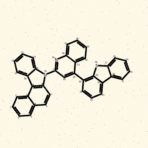 c1ccc2c(c1)ccc1c2c2ccccc2n1-c1cc(-c2cccc3c2sc2ccccc23)c2ccccc2n1